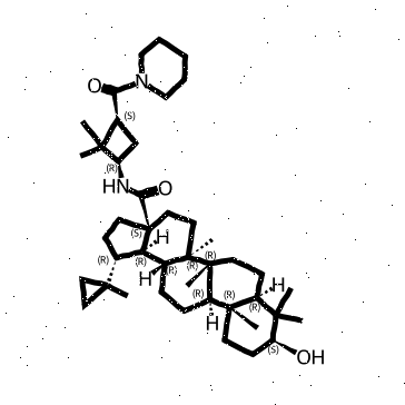 CC1([C@@H]2CC[C@]3(C(=O)N[C@@H]4C[C@H](C(=O)N5CCCCC5)C4(C)C)CC[C@]4(C)[C@H](CC[C@@H]5[C@@]6(C)CC[C@H](O)C(C)(C)[C@@H]6CC[C@]54C)[C@@H]23)CC1